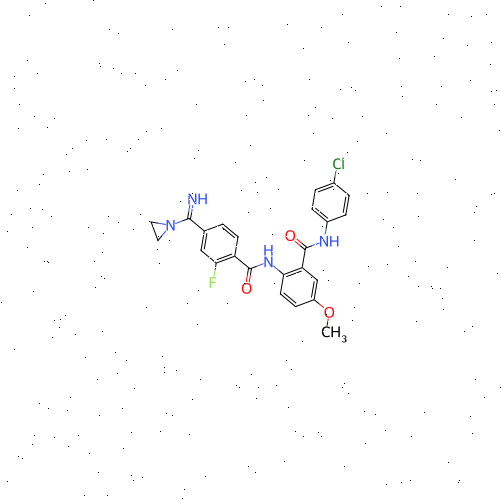 COc1ccc(NC(=O)c2ccc(C(=N)N3CC3)cc2F)c(C(=O)Nc2ccc(Cl)cc2)c1